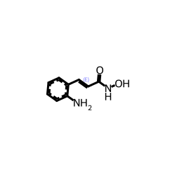 Nc1ccccc1/C=C/C(=O)NO